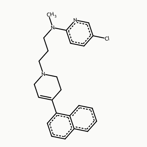 CN(CCCN1CC=C(c2cccc3ccccc23)CC1)c1ccc(Cl)cn1